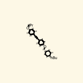 CCCC[C@H]1CC[C@H](COc2ccc(C#Cc3ccc(OCCC)cc3)cc2)CC1